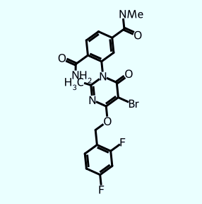 CNC(=O)c1ccc(C(N)=O)c(-n2c(C)nc(OCc3ccc(F)cc3F)c(Br)c2=O)c1